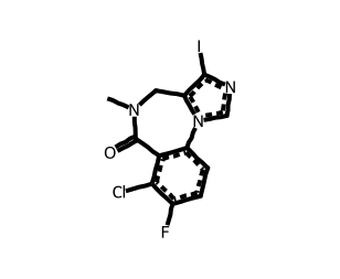 CN1Cc2c(I)ncn2-c2ccc(F)c(Cl)c2C1=O